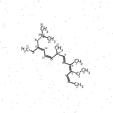 C\C=C/C(OC)=C(C)\C=C\C(C)/C=C\C=C(/CC)CN(C)C